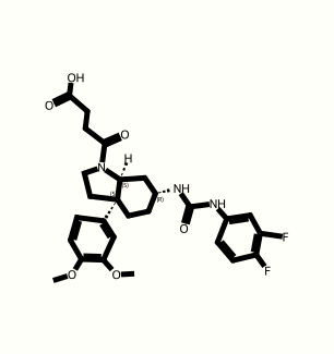 COc1ccc([C@@]23CC[C@@H](NC(=O)Nc4ccc(F)c(F)c4)C[C@@H]2N(C(=O)CCC(=O)O)CC3)cc1OC